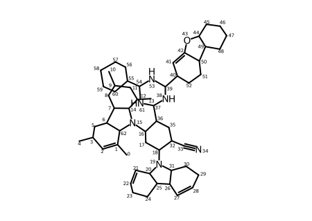 CC1=CC(C)CC2C3CC(C)CC(C)C3N(C3CC(N4C5C=CCCC5C5C=CCCC54)C(C#N)CC3C3NC(C4C=C5OC6CCCCC6C5CC4)NC(C4CCCCC4)N3)C12